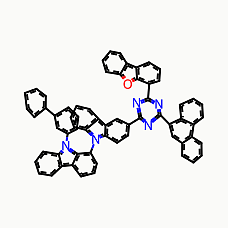 c1ccc(-c2cccc(-n3c4ccccc4c4cccc(-n5c6ccccc6c6cc(-c7nc(-c8cc9ccccc9c9ccccc89)nc(-c8cccc9c8oc8ccccc89)n7)ccc65)c43)c2)cc1